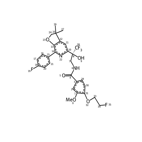 COc1cc(C(=O)NC[C@](O)(c2cc3c(c(-c4ccc(F)cc4)n2)OCC3(C)C)C(F)(F)F)ccc1OCCF